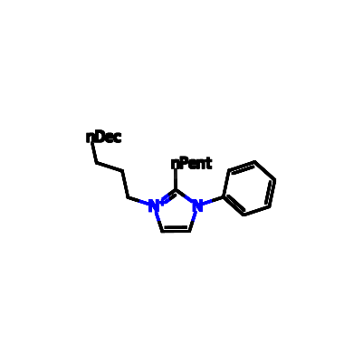 CCCCCCCCCCCCC[n+]1ccn(-c2ccccc2)c1CCCCC